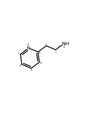 [NH]CCc1ccccn1